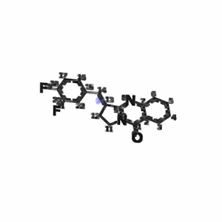 O=c1c2ccccc2nc2n1CC/C2=C\c1ccc(F)c(F)c1